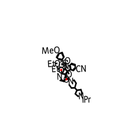 CCOc1cc(OC)ccc1S(=O)(=O)N1C(=O)C(OC(=O)N2CCC(C3CCN(C(C)C)CC3)CC2)(c2cccnc2OCC)c2cc(C#N)ccc21